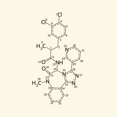 CC(Cc1ccc(Cl)c(Cl)c1)C(=O)NC1C(=O)N(C)c2ccccc2-c2nnc(-c3cccnc3)n21